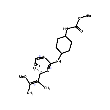 C/C=N\C(=N/[C@@H](C)/C(C)=C(/N)OC)NC1CCC(NC(=O)OC(C)(C)C)CC1